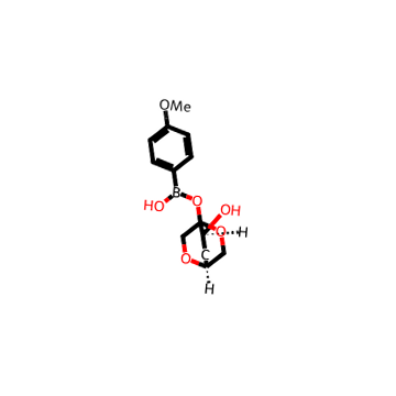 COc1ccc(B(O)OC23CO[C@H](CO2)C[C@@H]3O)cc1